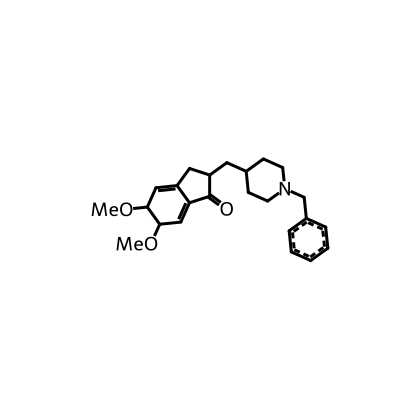 COC1C=C2CC(CC3CCN(Cc4ccccc4)CC3)C(=O)C2=CC1OC